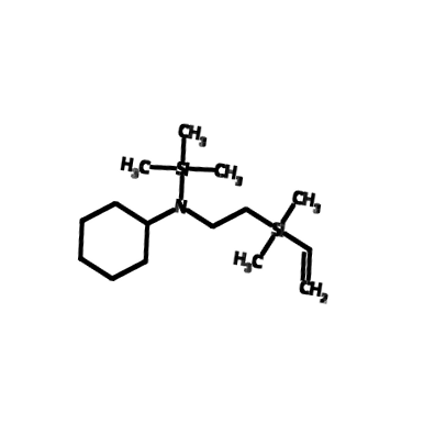 C=C[Si](C)(C)CCN(C1CCCCC1)[Si](C)(C)C